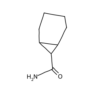 NC(=O)C1C2CCCCC21